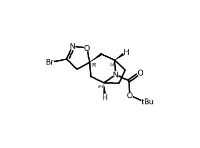 CC(C)(C)OC(=O)N1[C@@H]2CC[C@H]1C[C@]1(CC(Br)=NO1)C2